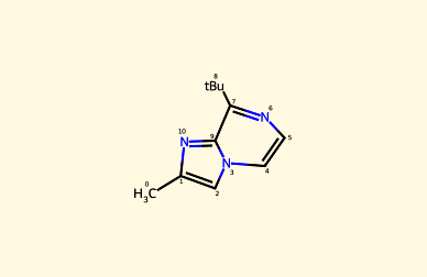 Cc1cn2ccnc(C(C)(C)C)c2n1